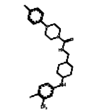 Cc1ccc(N2CCN(C(=O)NCC3CCC(Nc4ccc(C)c(C(F)(F)F)c4)CC3)CC2)cc1